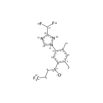 Cc1cc(C)c([S+]([O-])CCC(F)(F)F)cc1-n1cnc(C(F)F)n1